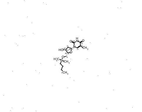 CCCC[Si](C)(C)OC[C@H]1O[C@@H](n2cc(C)c(=O)[nH]c2=O)C[C@@H]1O